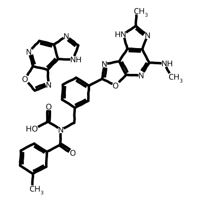 CNc1nc2oc(-c3cccc(CN(C(=O)O)C(=O)c4cccc(C)c4)c3)nc2c2[nH]c(C)nc12.c1nc2cnc3ocnc3c2[nH]1